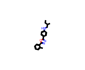 CCC(C)CNc1ccc(-c2nnc(-c3ccccc3C)o2)cc1